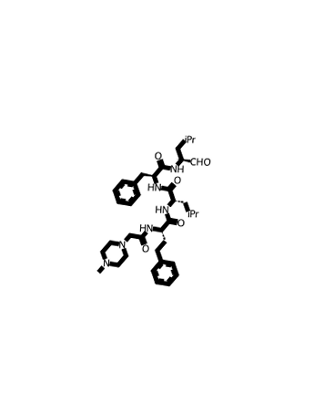 CC(C)C[C@@H](C=O)NC(=O)[C@H](Cc1ccccc1)NC(=O)[C@H](CC(C)C)NC(=O)[C@H](CCc1ccccc1)NC(=O)CN1CCN(C)CC1